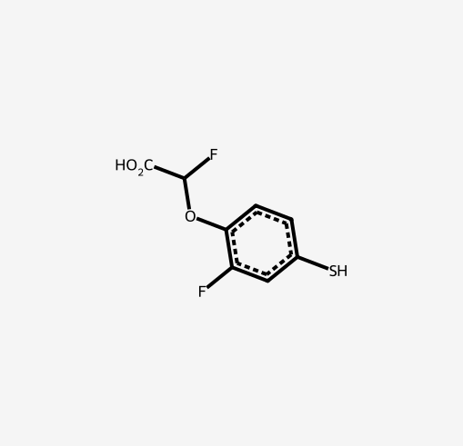 O=C(O)C(F)Oc1ccc(S)cc1F